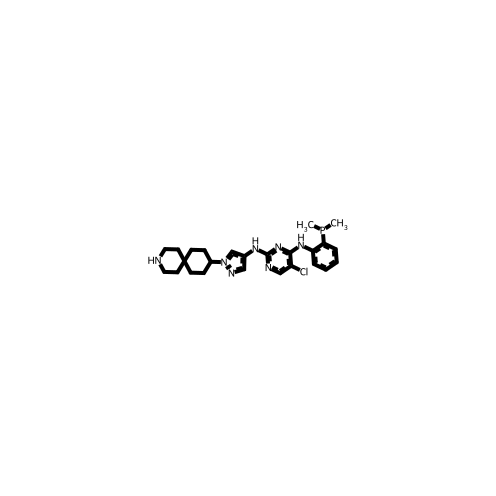 CP(C)c1ccccc1Nc1nc(Nc2cnn(C3CCC4(CCNCC4)CC3)c2)ncc1Cl